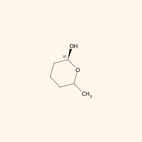 CC1CCC[C@@H](O)O1